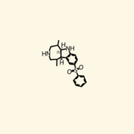 CC1CNCC(C)[C@H]2c3cc(S(=O)(=O)c4ccccc4)ccc3N[C@H]12